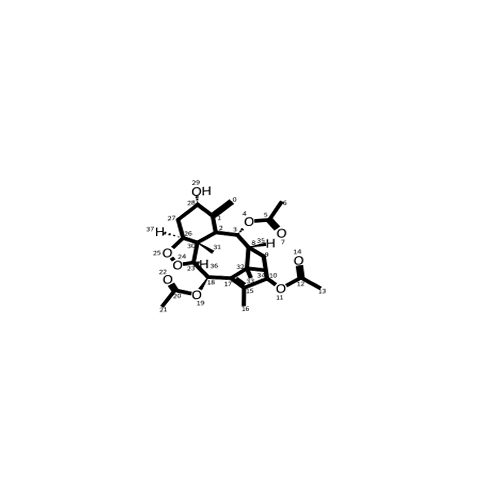 C=C1C2[C@H](OC(C)=O)[C@@H]3CC(OC(C)=O)C(C)=C([C@@H](OC(C)=O)[C@@H]4OO[C@@H](C[C@@H]1O)[C@]24C)C3(C)C